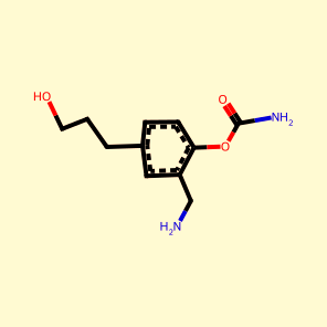 NCc1cc(CCCO)ccc1OC(N)=O